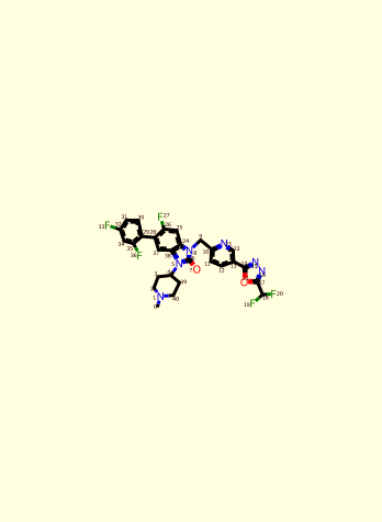 CN1CCC(n2c(=O)n(Cc3ccc(-c4nnc(C(F)F)o4)cn3)c3cc(F)c(-c4ccc(F)cc4F)cc32)CC1